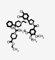 CCOC(=O)C1CCN(C(=O)NC2(c3ccccc3)CCN(CC[C@]3(c4ccc(Cl)c(Cl)c4)CCN(C(=O)c4cc(OC)c(OC)c(OC)c4)C3)CC2)CC1